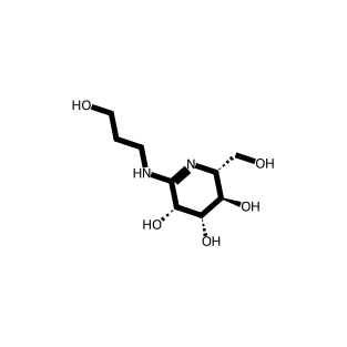 OCCCNC1=N[C@H](CO)[C@@H](O)[C@H](O)[C@@H]1O